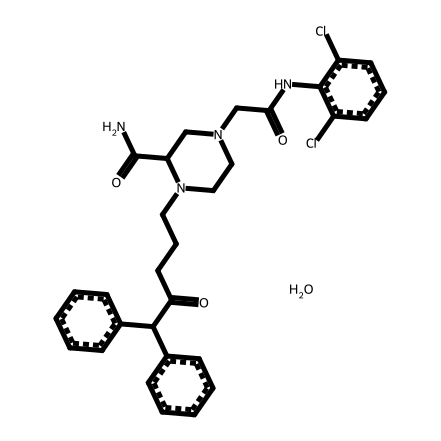 NC(=O)C1CN(CC(=O)Nc2c(Cl)cccc2Cl)CCN1CCCC(=O)C(c1ccccc1)c1ccccc1.O